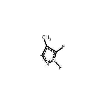 Cc1[c]nn(F)c1F